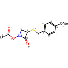 CCC(=O)ON1CC(SCc2ccc(OC)cc2)C1=O